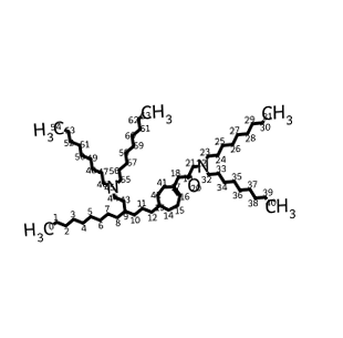 CCCCCCCCCC(CCCC1CCC=C(CC(=O)CN(CCCCCCCCC)CCCCCCCCC)CC1)CCN(CCCCCCCCC)CCCCCCCCC